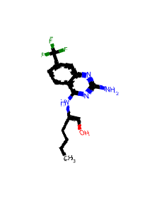 CCCCC(CO)Nc1nc(N)nc2cc(C(F)(F)F)ccc12